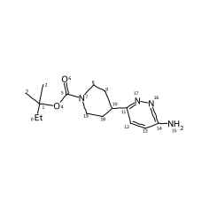 CCC(C)(C)OC(=O)N1CCC(c2ccc(N)nn2)CC1